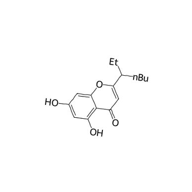 CCCCC(CC)c1cc(=O)c2c(O)cc(O)cc2o1